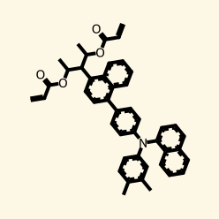 C=CC(=O)OC(C)C(c1ccc(-c2ccc(N(c3ccc(C)c(C)c3)c3cccc4ccccc34)cc2)c2ccccc12)C(C)OC(=O)C=C